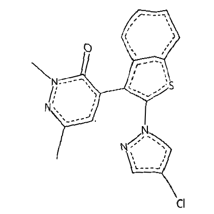 Cc1[c]c(-c2c(-n3cc(Cl)cn3)sc3ccccc23)c(=O)n(C)n1